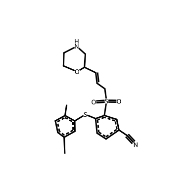 Cc1ccc(C)c(Sc2ccc(C#N)cc2S(=O)(=O)CC=CC2CNCCO2)c1